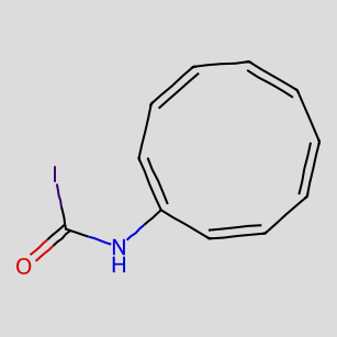 O=C(I)Nc1ccccccccc1